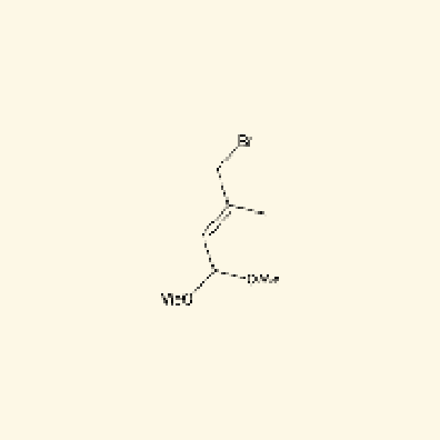 COC(/C=C(\C)CBr)OC